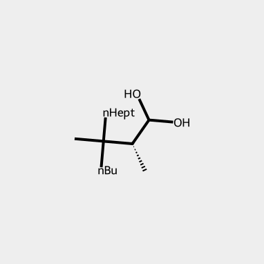 CCCCCCCC(C)(CCCC)[C@@H](C)C(O)O